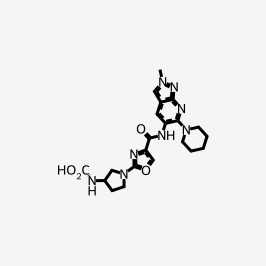 Cn1cc2cc(NC(=O)c3coc(N4CCC(NC(=O)O)C4)n3)c(N3CCCCC3)nc2n1